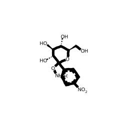 CC(=O)NOC1(c2ccc([N+](=O)[O-])cc2)O[C@H](CO)[C@@H](O)[C@H](O)[C@H]1O